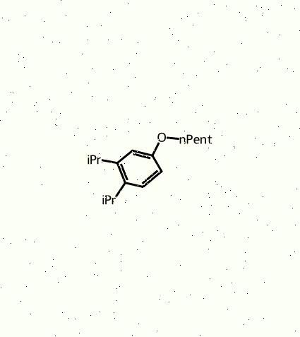 CCCCCOc1ccc(C(C)C)c(C(C)C)c1